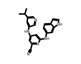 CC(C)c1cncc(Nc2cc(C#N)nc(Nc3ccc4cc[nH]c4c3)c2)c1